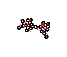 c1ccc(-c2cccc3cccc(-c4ccccc4N(c4ccc(-c5cccc6sc7cc(-c8ccc9c(c8)oc8c(-c%10ccccc%10N(c%10ccccc%10-c%10cccc%11c%10sc%10ccccc%10%11)c%10ccccc%10-c%10cccc%11cccc(-c%12ccccc%12)c%10%11)cccc89)ccc7c56)cc4)c4ccccc4-c4cccc5c4oc4ccccc45)c23)cc1